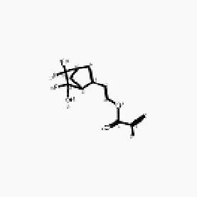 C=C(C)C(=O)OCCC1CC2CC1C(O)(F)C2(F)F